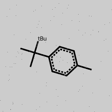 Cc1ccc(C(C)(C)C(C)(C)C)cc1